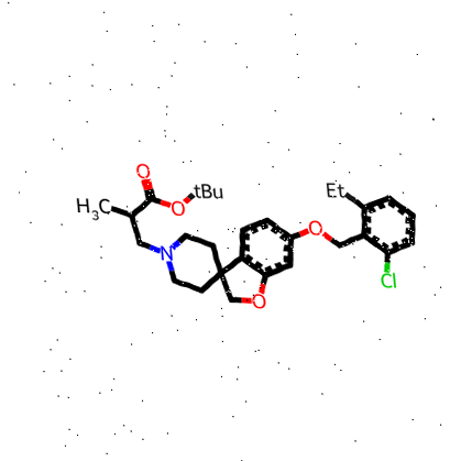 CCc1cccc(Cl)c1COc1ccc2c(c1)OCC21CCN(CC(C)C(=O)OC(C)(C)C)CC1